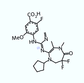 C=N/C(=N\C1=C(C)N(C)C(=O)C(F)(F)CN1C1CCCC1)Nc1cc(F)c(C(=O)O)cc1OC